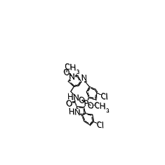 CO[n+]1cccc(CNC(=O)c2[nH]c3ccc(Cl)cc3c2P(=O)(OC)c2cc(Cl)cc(C#N)c2)c1